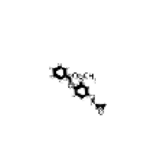 C[S+]([O-])c1cc(OC[C@@H]2CO2)ccc1OCc1ccccc1